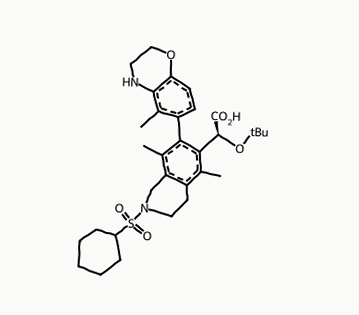 Cc1c(-c2c(C)c3c(c(C)c2[C@H](OC(C)(C)C)C(=O)O)CCN(S(=O)(=O)C2CCCCC2)C3)ccc2c1NCCO2